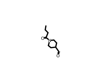 CCCC(=O)N1CCC([C]=O)CC1